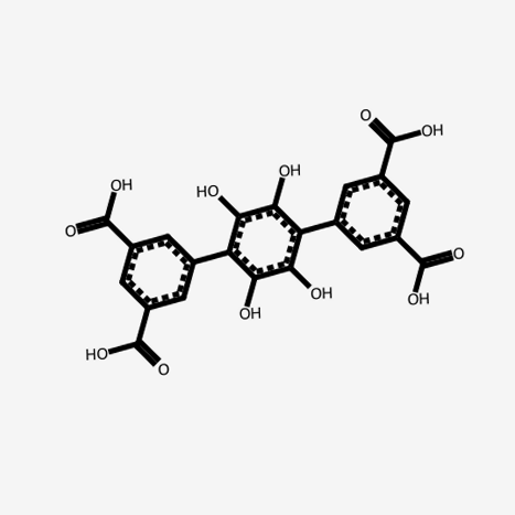 O=C(O)c1cc(C(=O)O)cc(-c2c(O)c(O)c(-c3cc(C(=O)O)cc(C(=O)O)c3)c(O)c2O)c1